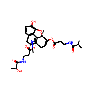 CC(C)C(=O)NCCC(=O)OC1=CC[C@@]2(OC(=O)CCNC(=O)[C@H](C)O)[C@H]3Cc4ccc(O)c5c4[C@@]2(CCN3C)[C@H]1O5